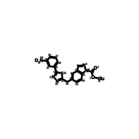 CC(C)(C)OC(=O)n1ncc2cc(Cc3nnc(-c4cccc([N+](=O)[O-])c4)s3)ccc21